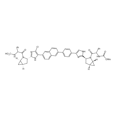 COC(=O)NC(C(=O)N1[C@@H]2C[C@@H]2C[C@H]1c1nc(-c2ccc(-c3ccc4cc(-c5[nH]c([C@@H]6C[C@H]7C[C@H]7N6C(=O)C(NC(=O)O)C(C)C)nc5Cl)ccc4c3)cc2)c[nH]1)C(C)C